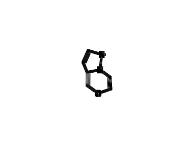 C1=CC2=COC=CN2[N]1